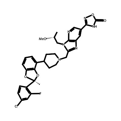 CO[C@H](C)Cn1c(CN2CCC(c3cccc4c3O[C@@](C)(c3ccc(Cl)cc3F)O4)CC2)nc2cc(-c3noc(=O)[nH]3)cnc21